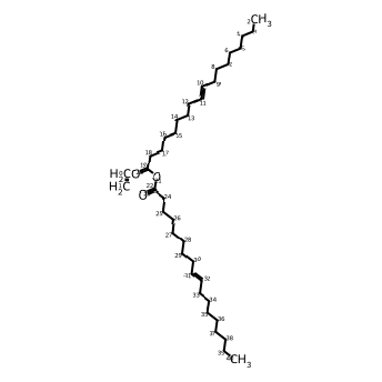 C=C.CCCCCCCCC=CCCCCCCCC(=O)OC(=O)CCCCCCCC=CCCCCCCCC